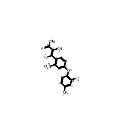 CC(C)(C)C(=O)/C(C#N)=C(\O)c1ccc(Oc2ccc(C(F)(F)F)cc2Cl)cc1[N+](=O)[O-]